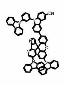 N#Cc1ccc2c(c1)c1cc(-c3ccc4c(c3)C3(c5ccc(-n6c7ccccc7c7ccccc76)cc5O4)c4cccnc4-c4ncc(-n5c6ccccc6c6ccccc65)cc43)ccc1n2-c1cccc(-n2c3ccccc3c3ccccc32)c1